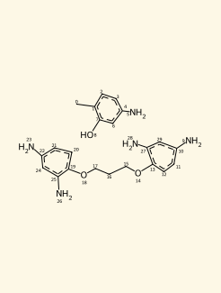 Cc1ccc(N)cc1O.Nc1ccc(OCCCOc2ccc(N)cc2N)c(N)c1